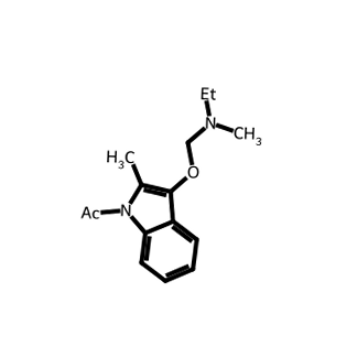 CCN(C)COc1c(C)n(C(C)=O)c2ccccc12